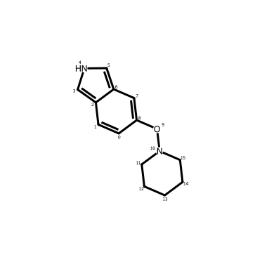 c1cc2c[nH]cc2cc1ON1CCCCC1